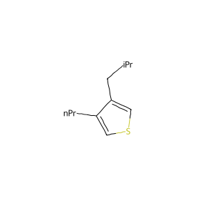 CCCc1cscc1CC(C)C